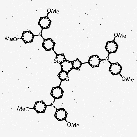 COc1ccc(N(c2ccc(OC)cc2)c2ccc(-c3cc4c5cc(-c6ccc(N(c7ccc(OC)cc7)c7ccc(OC)cc7)cc6)sc5c5sc(-c6ccc(N(c7ccc(OC)cc7)c7ccc(OC)cc7)cc6)cc5c4s3)cc2)cc1